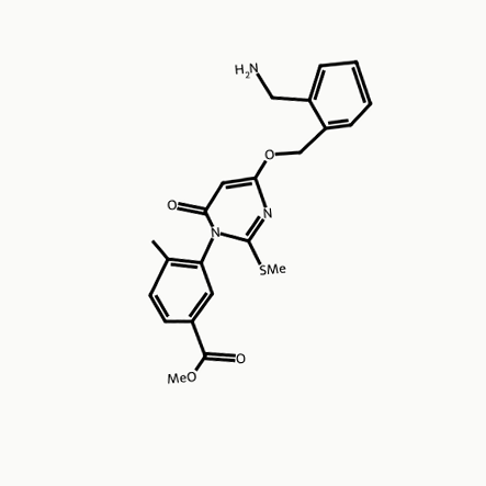 COC(=O)c1ccc(C)c(-n2c(SC)nc(OCc3ccccc3CN)cc2=O)c1